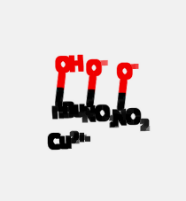 CCCCO.O=[N+]([O-])[O-].O=[N+]([O-])[O-].[Cu+2]